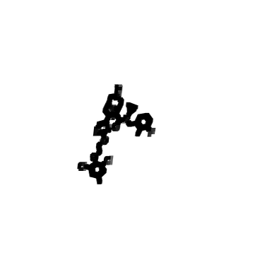 Cc1cc(Cl)c(OCCOc2ncc(C3=C(C(=O)N(Cc4cccc(F)c4C)C4CC4)C4CNCC(C3)N4)s2)c(Cl)c1